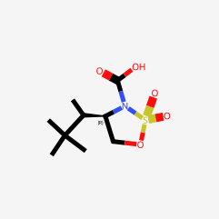 CC([C@@H]1COS(=O)(=O)N1C(=O)O)C(C)(C)C